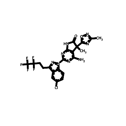 Cc1noc(C2(C)C(=O)Nc3nc(-n4nc(CCC(F)(F)C(F)(F)F)c5cc(Cl)ccc54)nc(N)c32)n1